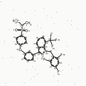 CN(C)S(=O)(=O)c1ccc(Oc2cccc(-c3nn(Cc4c(F)cc(F)cc4F)c4c(C(F)(F)F)cccc34)c2)cc1